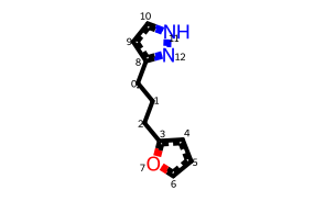 [CH](CCc1ccco1)c1cc[nH]n1